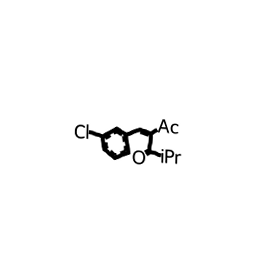 CC(=O)C(=Cc1cccc(Cl)c1)C(=O)C(C)C